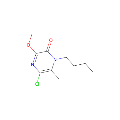 CCCCn1c(C)c(Cl)nc(OC)c1=O